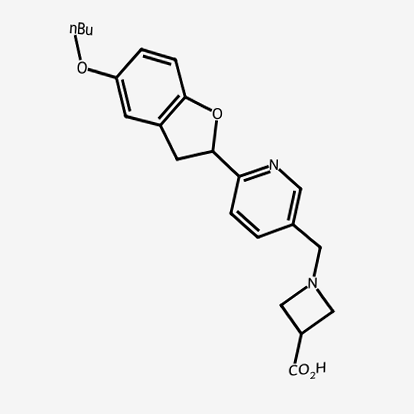 CCCCOc1ccc2c(c1)CC(c1ccc(CN3CC(C(=O)O)C3)cn1)O2